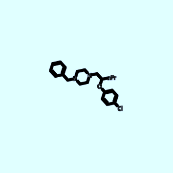 CCCC(CN1CCN(Cc2ccccc2)CC1)Oc1ccc(Cl)cc1